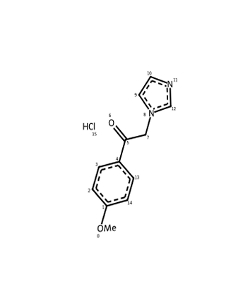 COc1ccc(C(=O)Cn2ccnc2)cc1.Cl